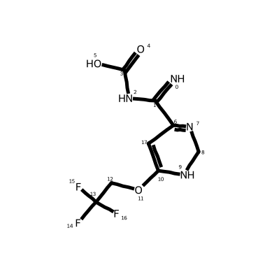 N=C(NC(=O)O)C1=NCNC(OCC(F)(F)F)=C1